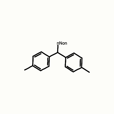 CCCCCCCCCC(c1ccc(C)cc1)c1ccc(C)cc1